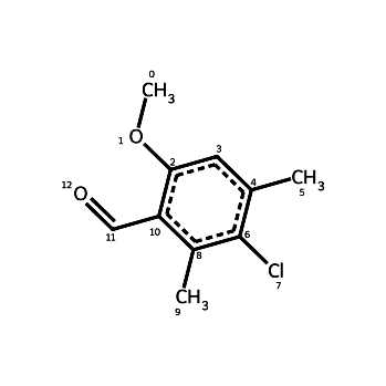 COc1cc(C)c(Cl)c(C)c1C=O